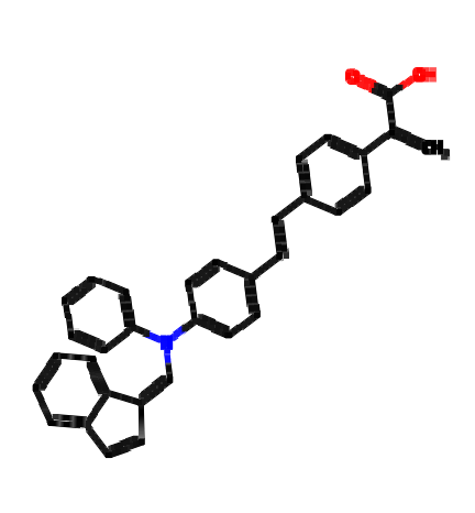 C=C(C(=O)O)c1ccc(C=Cc2ccc(N(/C=C3/C=Cc4ccccc43)c3ccccc3)cc2)cc1